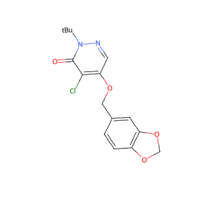 CC(C)(C)n1ncc(OCc2ccc3c(c2)OCO3)c(Cl)c1=O